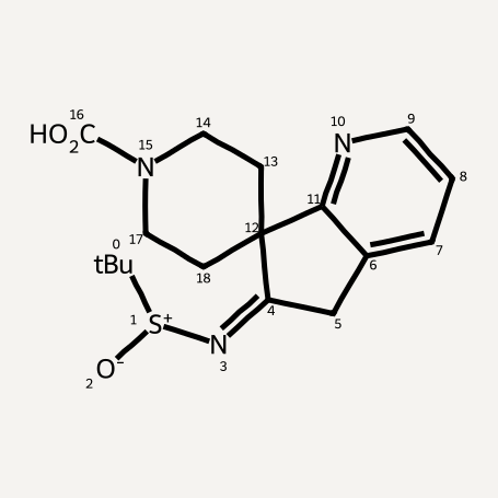 CC(C)(C)[S+]([O-])/N=C1/Cc2cccnc2C12CCN(C(=O)O)CC2